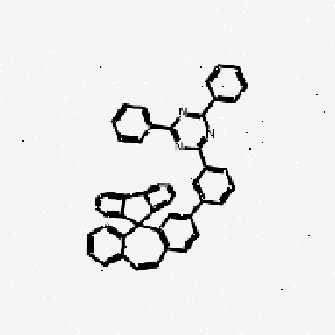 C1=Cc2ccc(-c3cccc(-c4nc(-c5ccccc5)nc(-c5ccccc5)n4)c3)cc2C2(c3ccccc31)c1ccccc1-c1ccccc12